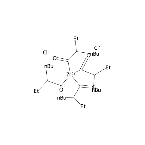 CCCCC(CC)[C](=O)[Zr+2]([C](=O)C(CC)CCCC)([C](=O)C(CC)CCCC)[C](=O)C(CC)CCCC.[Cl-].[Cl-]